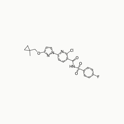 CC1(COc2ccn(-c3ccc(C(=O)NS(=O)(=O)c4ccc(F)cc4)c(Cl)n3)n2)CC1